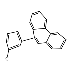 Clc1cccc(-c2cc3ccccc3c3ccccc23)c1